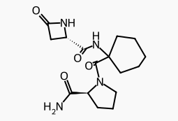 NC(=O)[C@@H]1CCCN1C(=O)C1(NC(=O)[C@@H]2CC(=O)N2)CCCCC1